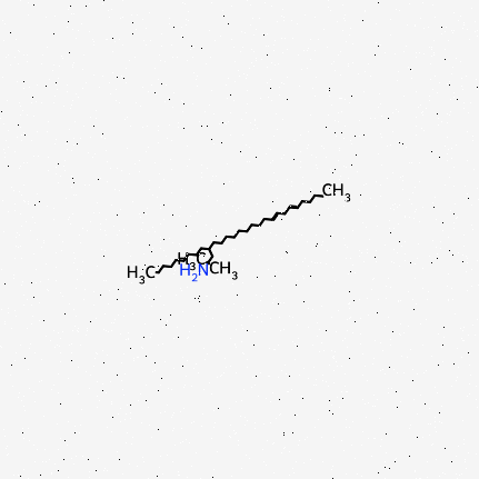 CCCCC/C=C/C/C=C/CCCCCCCCCC(CCCCCCCCC)CC(C)(C)N